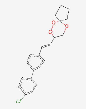 Clc1ccc(-c2ccc(C=CC3COC4(CCCC4)OO3)cc2)cc1